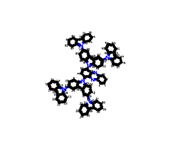 c1ccc2nc3c(-n4c5ccc(-n6c7ccccc7c7ccccc76)cc5c5cc(-n6c7ccccc7c7ccccc76)ccc54)ccc(-n4c5ccc(-n6c7ccccc7c7ccccc76)cc5c5cc(-n6c7ccccc7c7ccccc76)ccc54)c3nc2c1